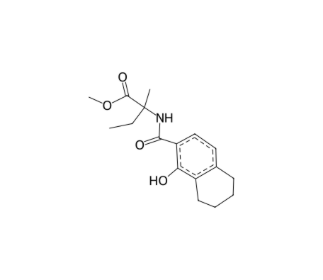 CCC(C)(NC(=O)c1ccc2c(c1O)CCCC2)C(=O)OC